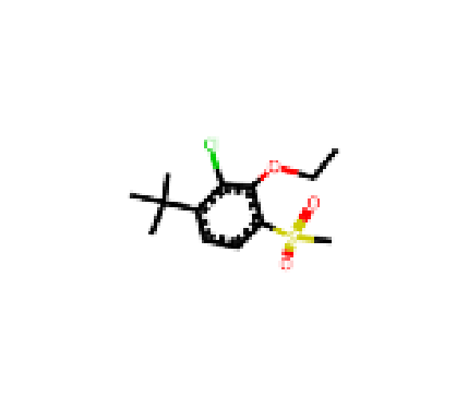 CCOc1c(S(C)(=O)=O)ccc(C(C)(C)C)c1Cl